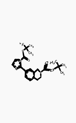 CC(C)(C)OC(=O)N1CCc2ccc(-c3nccn3C(=O)OC(C)(C)C)cc2C1